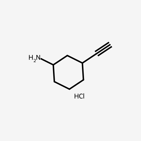 C#CC1CCCC(N)C1.Cl